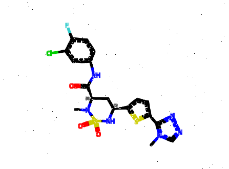 CN1[C@@H](C(=O)Nc2ccc(F)c(Cl)c2)C[C@@H](c2ccc(-c3nncn3C)s2)NS1(=O)=O